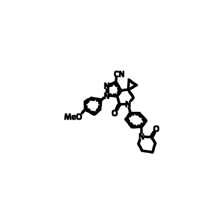 COc1ccc(-n2nc(C#N)c3c2C(=O)N(c2ccc(N4CCCCC4=O)cc2)CC32CC2)cc1